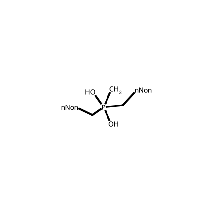 CCCCCCCCCCP(C)(O)(O)CCCCCCCCCC